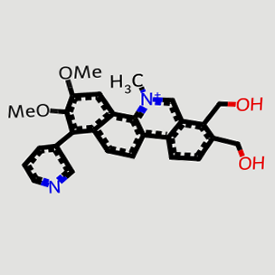 COc1cc2c(ccc3c4ccc(CO)c(CO)c4c[n+](C)c23)c(-c2cccnc2)c1OC